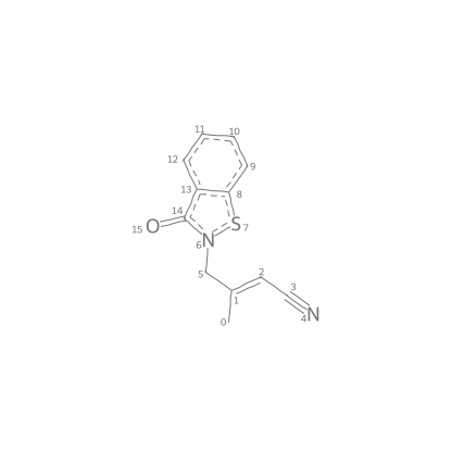 CC(=CC#N)Cn1sc2ccccc2c1=O